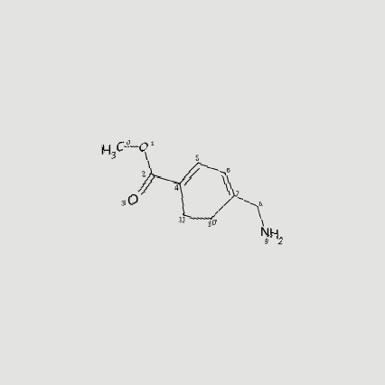 COC(=O)C1=CC=C(CN)CC1